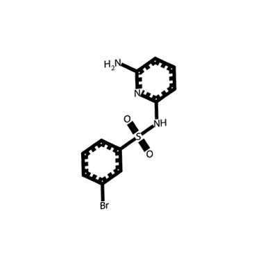 Nc1cccc(NS(=O)(=O)c2cccc(Br)c2)n1